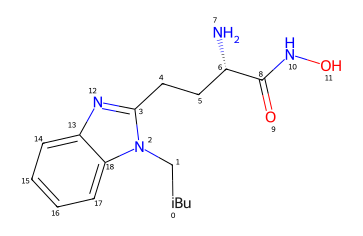 CCC(C)Cn1c(CC[C@H](N)C(=O)NO)nc2ccccc21